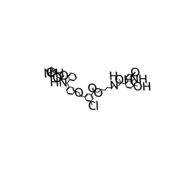 O=C(NC(c1ccccc1)c1cccc(OCc2cc(Cl)cc(C(=O)OCCCCNCC(O)c3ccc(O)c4[nH]c(=O)ccc34)c2)c1)O[C@H]1CN2CCC1CC2